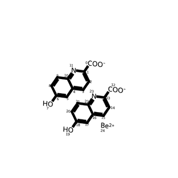 O=C([O-])c1ccc2cc(O)ccc2n1.O=C([O-])c1ccc2cc(O)ccc2n1.[Be+2]